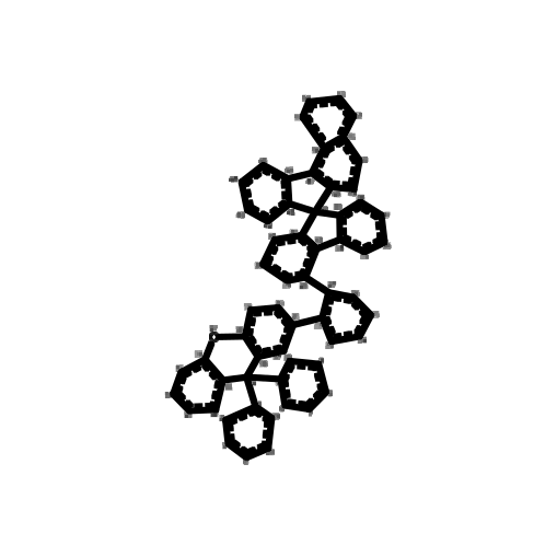 c1ccc(C2(c3ccccc3)c3ccccc3Oc3ccc(-c4ccccc4-c4cccc5c4-c4ccccc4C54c5ccccc5-c5c4ccc4ccccc54)cc32)cc1